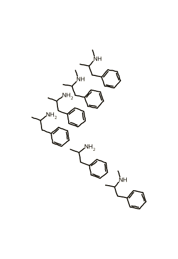 CC(N)Cc1ccccc1.CC(N)Cc1ccccc1.CC(N)Cc1ccccc1.CNC(C)Cc1ccccc1.CNC(C)Cc1ccccc1.CNC(C)Cc1ccccc1